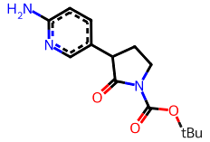 CC(C)(C)OC(=O)N1CCC(c2ccc(N)nc2)C1=O